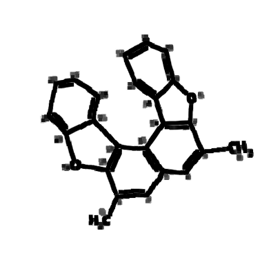 Cc1cc2cc(C)c3oc4ccccc4c3c2c2c1oc1ccccc12